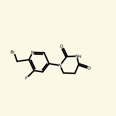 O=C1CCN(c2cnc(CBr)c(F)c2)C(=O)N1